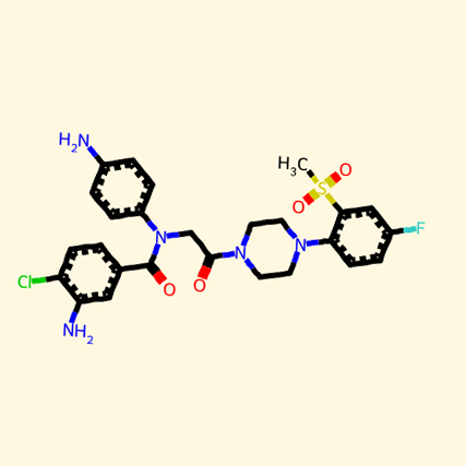 CS(=O)(=O)c1cc(F)ccc1N1CCN(C(=O)CN(C(=O)c2ccc(Cl)c(N)c2)c2ccc(N)cc2)CC1